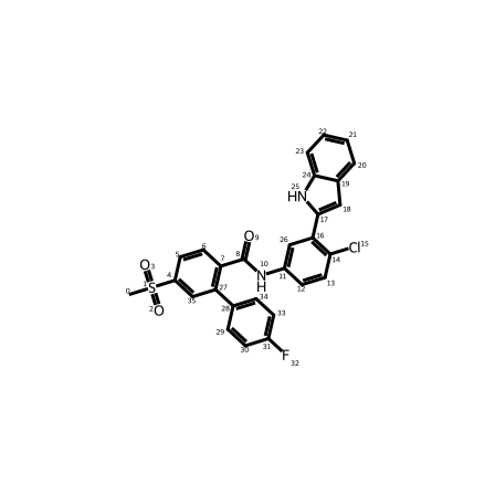 CS(=O)(=O)c1ccc(C(=O)Nc2ccc(Cl)c(-c3cc4ccccc4[nH]3)c2)c(-c2ccc(F)cc2)c1